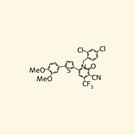 COc1ccc(-c2ccc(-c3cc(C(F)(F)F)c(C#N)c(=O)n3Cc3ccc(Cl)cc3Cl)s2)cc1OC